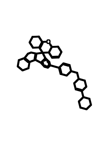 C1=CC2C(CC1)OC1=C(CCCC1)C21C2=C(C3=C(CCCC3)CC2)c2ccc(C3=CCC(CC4CC=C(C5CCCCC5)CC4)C=C3)cc21